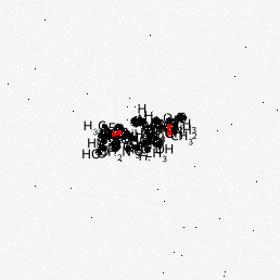 CCCC[C@@H](C(=O)N1CCC[C@@H]1C(=O)N[C@H](C=O)CC(=O)O)N(C)C(=O)[C@H](Cc1ccccc1)N(C)C(=O)[C@H](Cc1ccc(F)cc1)NC(=O)CSC[C@H](NC(=O)[C@H](CC(C)C)NC(=O)[C@H](Cc1ccc(O)cc1)NC(=O)C(Cc1c[nH]c2ccccc12)NC(=O)[C@H]1CCCN1C(=O)[C@H](CC(=O)O)NCC(=O)[C@H](Cc1ccccc1)N(C)C(=O)[C@@H](N)C(C)C)C(=O)NCC(N)=O